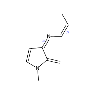 C=C1/C(=N\C=C/C)C=CN1C